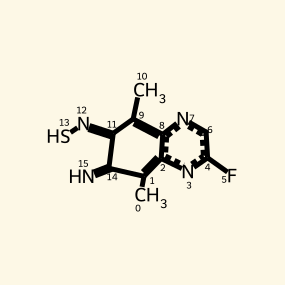 CC1=c2nc(F)cnc2=C(C)/C(=N/S)C1=N